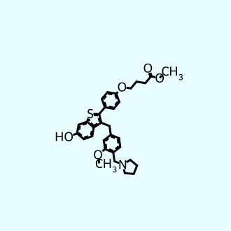 COC(=O)CCCOc1ccc(-c2sc3cc(O)ccc3c2Cc2ccc(CN3CCCC3)c(OC)c2)cc1